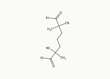 CCC(=O)C(C)(C#N)CCCC(C)(C#N)C(=O)CC